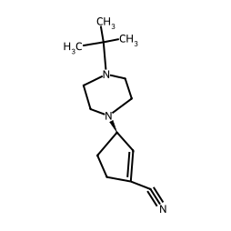 CC(C)(C)N1CCN([C@H]2C=C(C#N)CC2)CC1